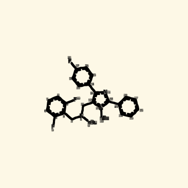 CCCCN(Cc1c(F)cccc1F)Cc1c(-c2ccc(F)cc2)nc(-c2ccccc2)n1CCCC